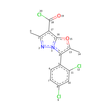 Cc1nn2c(-c3ccc(Cl)cc3Cl)c(C)oc2c1C(=O)Cl